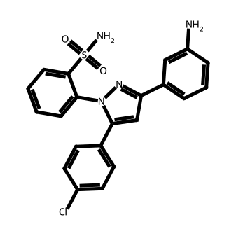 Nc1cccc(-c2cc(-c3ccc(Cl)cc3)n(-c3ccccc3S(N)(=O)=O)n2)c1